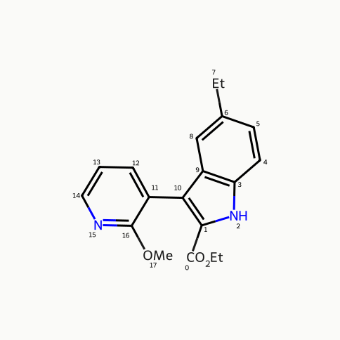 CCOC(=O)c1[nH]c2ccc(CC)cc2c1-c1cccnc1OC